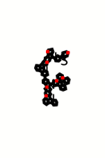 c1ccc(C2(c3ccccc3)c3ccccc3-c3cc(-n4c5cc(-c6ccc7c(c6)c6cccc8c9cc%10cc%11c%12ccccc%12n(-c%12ccc%13sc%14ccccc%14c%13c%12)c%11cc%10cc9n7c68)ccc5c5cc6cc7c8cccc9c%10ccccc%10n(c7cc6cc54)c98)ccc32)cc1